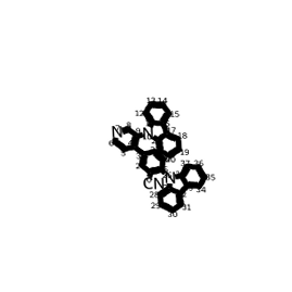 N#Cc1cc(-c2ccncc2-n2c3ccccc3c3ccccc32)ccc1-n1c2ccccc2c2ccccc21